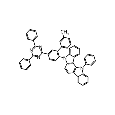 Cc1cccc(-c2cc(-c3nc(-c4ccccc4)nc(-c4ccccc4)n3)ccc2-n2c3ccccc3c3c2ccc2c4ccccc4n(-c4ccccc4)c23)c1